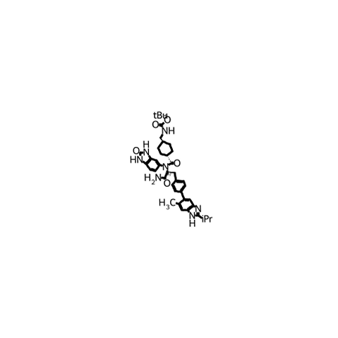 Cc1cc2[nH]c(C(C)C)nc2cc1-c1ccc(C[C@@H](C(N)=O)N(c2ccc3[nH]c(=O)[nH]c3c2)C(=O)[C@H]2CC[C@H](CNC(=O)OC(C)(C)C)CC2)cc1